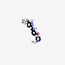 CCC1(C)CCCc2c(-c3cc4c([nH]3)C=C(C(=O)N3CCCN(C)CC3)CC=C4)n[nH]c2C1